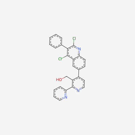 OCc1c(-c2ccc3nc(Cl)c(-c4ccccc4)c(Cl)c3c2)ccnc1-c1ccccn1